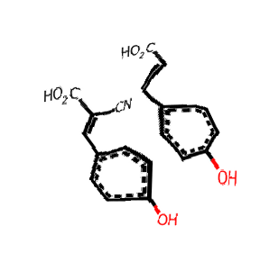 N#C/C(=C\c1ccc(O)cc1)C(=O)O.O=C(O)C=Cc1ccc(O)cc1